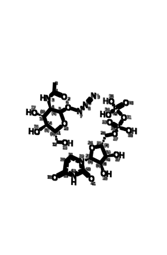 CC(=O)N[C@H]1C(ON=[N+]=[N-])O[C@H](CO)[C@@H](O)[C@@H]1O.O=c1ccn([C@@H]2O[C@H](COP(=O)(O)OP(=O)(O)O)[C@@H](O)[C@H]2O)c(=O)[nH]1